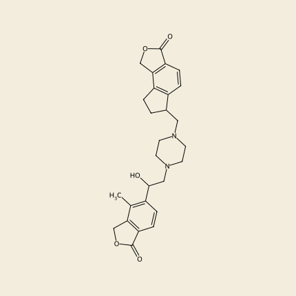 Cc1c(C(O)CN2CCN(CC3CCc4c3ccc3c4COC3=O)CC2)ccc2c1COC2=O